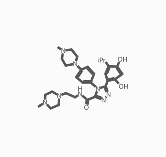 CC(C)c1cc(-c2nnc(C(=O)NCCN3CCN(C)CC3)n2-c2ccc(N3CCN(C)CC3)cc2)c(O)cc1O